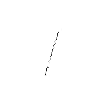 CCCCCCCCCCCCCCCCCCOC(=O)CCCC(=O)Cl